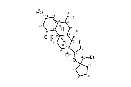 CCOC1(O[C@H]2CC[C@H]3[C@@H]4CC(C)C5=C[C@@H](O)CC[C@]5(C=O)[C@H]4CC[C@]23C)CCCC1